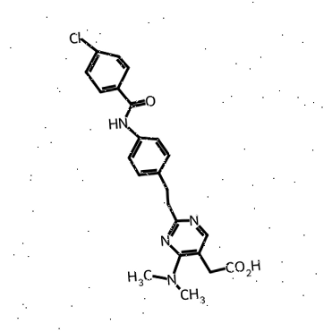 CN(C)c1nc(CCc2ccc(NC(=O)c3ccc(Cl)cc3)cc2)ncc1CC(=O)O